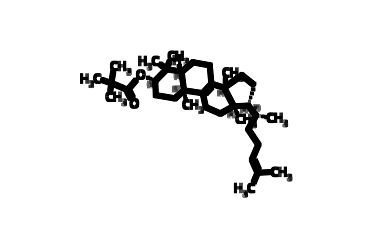 CC(C)=CCC[C@@H](C)[C@H]1CC[C@@]2(C)C3=C(CC[C@]12C)[C@@]1(C)CC[C@H](OC(=O)C(C)(C)C)C(C)(C)[C@@H]1CC3